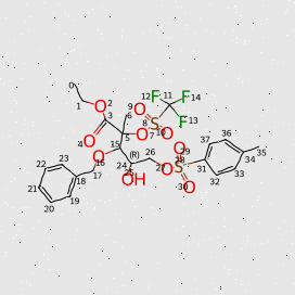 CCOC(=O)C(C)(OS(=O)(=O)C(F)(F)F)C(OCc1ccccc1)[C@H](O)COS(=O)(=O)c1ccc(C)cc1